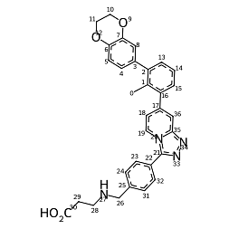 Cc1c(-c2ccc3c(c2)OCCO3)cccc1-c1ccn2c(-c3ccc(CNCCC(=O)O)cc3)nnc2c1